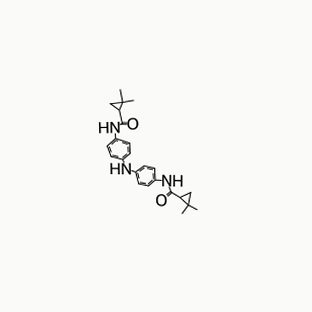 CC1(C)CC1C(=O)Nc1ccc(Nc2ccc(NC(=O)C3CC3(C)C)cc2)cc1